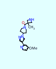 COc1ccnc(-c2cnn(C3CCN(C(=O)C4(C)CNC4)CC3)c2)c1